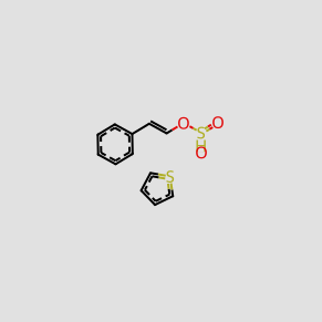 O=[SH](=O)OC=Cc1ccccc1.c1ccsc1